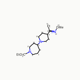 CCOC(=O)N1CCCC(N2CCC(/C(CC)=N/OC)CC2)CC1